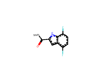 CNC(=O)c1cc2c(F)ccc(F)c2[nH]1